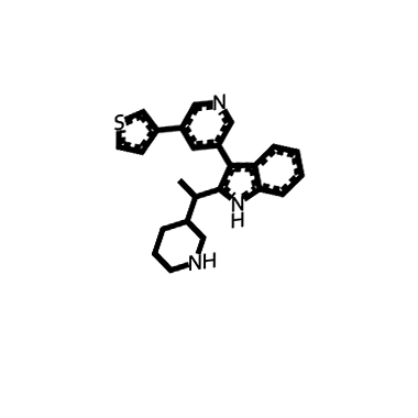 CC(c1[nH]c2ccccc2c1-c1cncc(-c2ccsc2)c1)C1CCCNC1